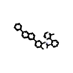 C/C(=N\c1cc(-c2ccc3cc(-c4ccccc4)ccc3c2)ccc1C)c1ccccc1-c1nccnc1C